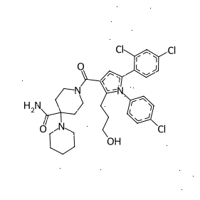 NC(=O)C1(N2CCCCC2)CCN(C(=O)c2cc(-c3ccc(Cl)cc3Cl)n(-c3ccc(Cl)cc3)c2CCCO)CC1